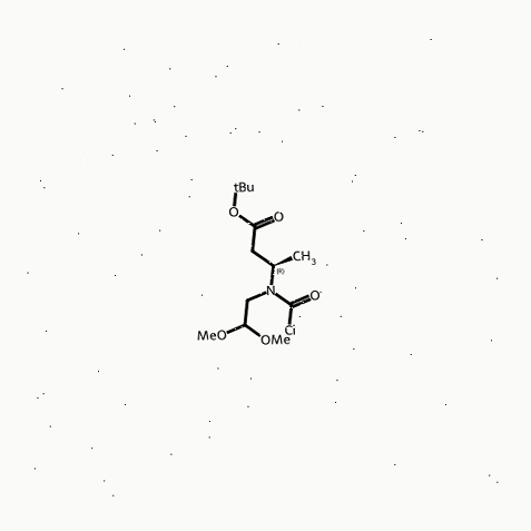 COC(CN(C(=O)Cl)[C@H](C)CC(=O)OC(C)(C)C)OC